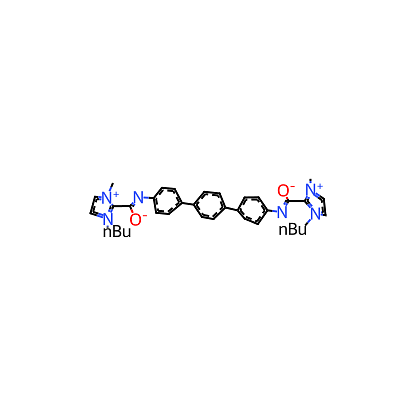 CCCCn1cc[n+](C)c1/C([O-])=N/c1ccc(-c2ccc(-c3ccc(/N=C(\[O-])c4n(CCCC)cc[n+]4C)cc3)cc2)cc1